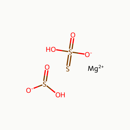 O=S([O-])(O)=S.O=S([O-])O.[Mg+2]